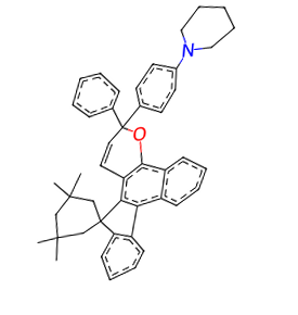 CC1(C)CC(C)(C)CC2(C1)c1ccccc1-c1c2c2c(c3ccccc13)OC(c1ccccc1)(c1ccc(N3CCCCC3)cc1)C=C2